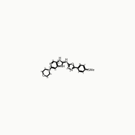 CSc1ccc(-c2nnc(NC3Nc4cnc(N5CCOCC5)cc4N3)o2)cc1